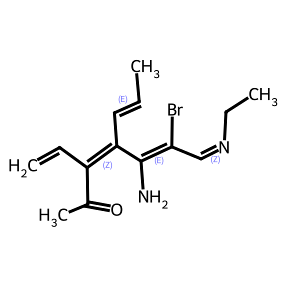 C=C/C(C(C)=O)=C(\C=C\C)C(/N)=C(Br)/C=N\CC